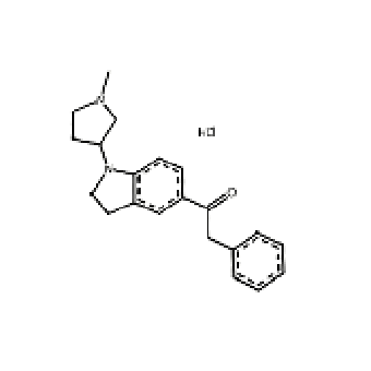 CN1CCC(N2CCc3cc(C(=O)Cc4ccccc4)ccc32)C1.Cl